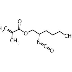 C=C(C)C(=O)OCC(CCCC)N=C=O